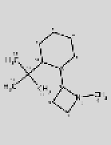 CN1CCC1C1CCCCC1C(C)(C)C